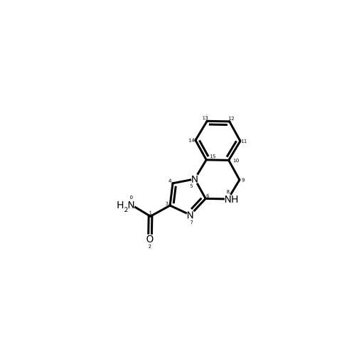 NC(=O)c1cn2c(n1)NCc1ccccc1-2